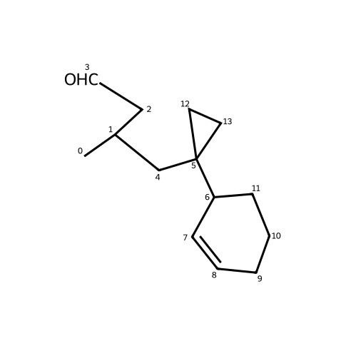 CC(CC=O)CC1(C2C=CCCC2)CC1